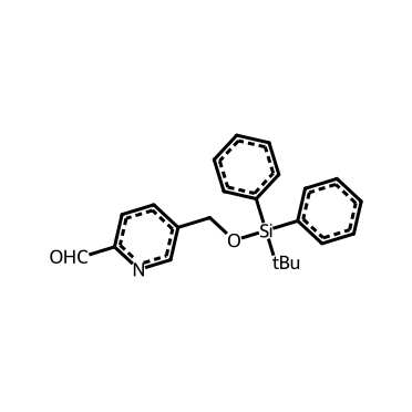 CC(C)(C)[Si](OCc1ccc(C=O)nc1)(c1ccccc1)c1ccccc1